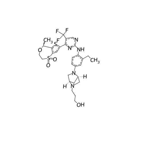 CCc1cc(N2C[C@H]3C[C@@H]2CN3CCCO)ccc1Nc1ncc(C(F)(F)F)c(-c2cc3c(s2)[C@H](C)OCCS3(=O)=O)n1